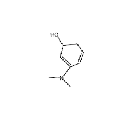 CN(C)C1=CC(O)CC=C1